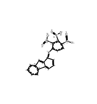 O=[N+]([O-])c1ccc(N=C2C=CC=C3C2=Cc2ccccc23)c([N+](=O)[O-])c1[N+](=O)[O-]